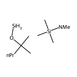 CCCC(C)(C)O[SiH3].CN[Si](C)(C)C